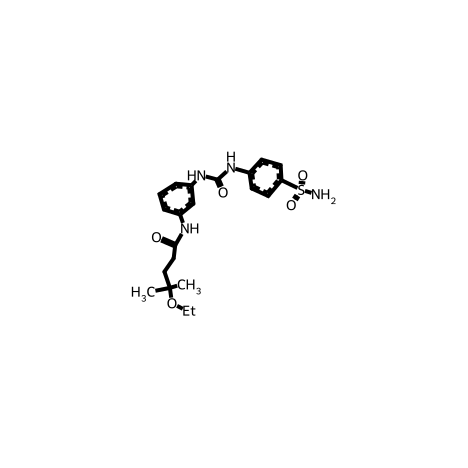 CCOC(C)(C)CCC(=O)Nc1cccc(NC(=O)Nc2ccc(S(N)(=O)=O)cc2)c1